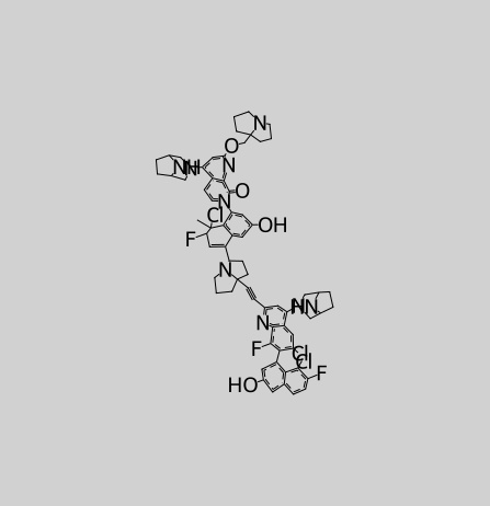 CC1(Cl)c2c(cc(O)cc2-n2ccc3c(N4CC5CCC(C4)N5)cc(OCC45CCCN4CCC5)nc3c2=O)C(C2CCC3(C#Cc4cc(N5CC6CCC(C5)N6)c5cc(Cl)c(-c6cc(O)cc7ccc(F)c(Cl)c67)c(F)c5n4)CCCN23)=CC1F